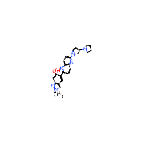 Cn1cc2cc(-c3ccc4nc(N5CCC(N6CCCC6)C5)ccc4n3)c(O)cc2n1